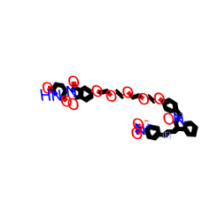 O=C1CCC(N2C(=O)c3ccc(OCCOCCOCCOCCOc4ccc(CN5C(=O)C(=C/C=C/c6ccc([N+](=O)[O-])cc6)c6ccccc65)cc4)cc3C2=O)C(=O)N1